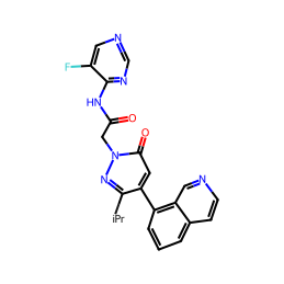 CC(C)c1nn(CC(=O)Nc2ncncc2F)c(=O)cc1-c1cccc2ccncc12